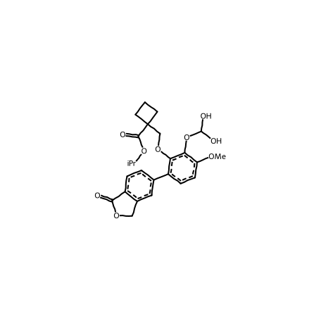 COc1ccc(-c2ccc3c(c2)COC3=O)c(OCC2(C(=O)OC(C)C)CCC2)c1OC(O)O